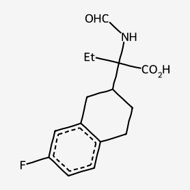 CCC(NC=O)(C(=O)O)C1CCc2ccc(F)cc2C1